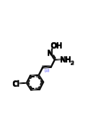 NC(/C=C/c1cccc(Cl)c1)=NO